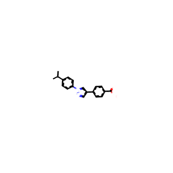 CC(C)c1ccc(-n2cc(-c3ccc(C(=O)O)cc3)cn2)cc1